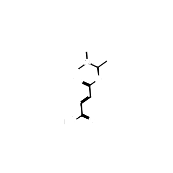 CC(OC(=O)/C=C/C(=O)O)N(C)C